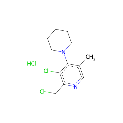 Cc1cnc(CCl)c(Cl)c1N1CCCCC1.Cl